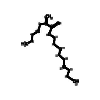 C=C(COCCC)C(=O)OCCOCCOCCO